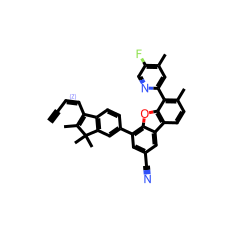 C#C/C=C\C1=C(C)C(C)(C)c2cc(-c3cc(C#N)cc4c3oc3c(-c5cc(C)c(F)cn5)c(C)ccc34)ccc21